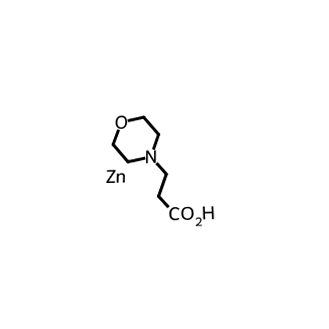 O=C(O)CCN1CCOCC1.[Zn]